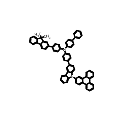 CC1(C)c2ccccc2-c2ccc(-c3ccc(N(c4ccc(-c5ccccc5)cc4)c4ccc(-c5ccc6c(c5)c5ccccc5n6-c5ccc6c7ccccc7c7ccccc7c6c5)cc4)cc3)cc21